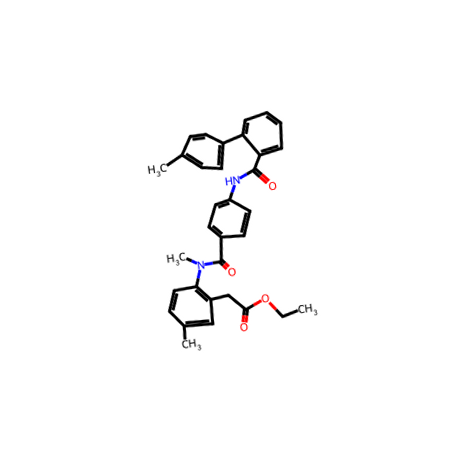 CCOC(=O)Cc1cc(C)ccc1N(C)C(=O)c1ccc(NC(=O)c2ccccc2-c2ccc(C)cc2)cc1